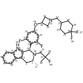 C[C@@H]1Cc2c([nH]c3ccccc23)[C@@H](c2c(F)cc(OC3CN(CC4CCC(F)(F)CC4)C3)cc2F)N1CC(C)(C)F